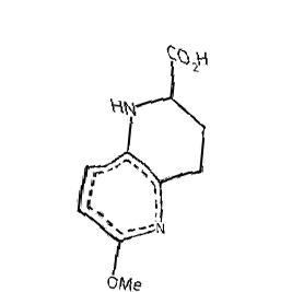 COc1ccc2c(n1)CCC(C(=O)O)N2